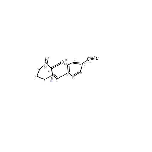 COc1ccc(/C=C2/CCCNC2=O)cc1